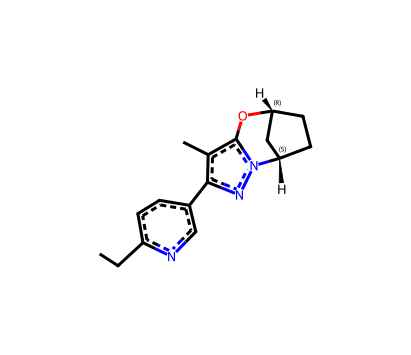 CCc1ccc(-c2nn3c(c2C)O[C@@H]2CC[C@H]3C2)cn1